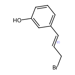 Oc1cccc(/C=C/CBr)c1